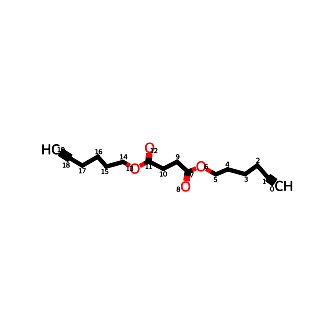 C#CCCCCOC(=O)CCC(=O)OCCCCC#C